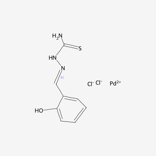 NC(=S)N/N=C/c1ccccc1O.[Cl-].[Cl-].[Pd+2]